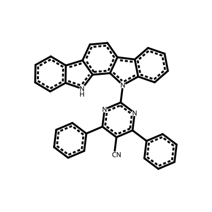 N#Cc1c(-c2ccccc2)nc(-n2c3ccccc3c3ccc4c5ccccc5[nH]c4c32)nc1-c1ccccc1